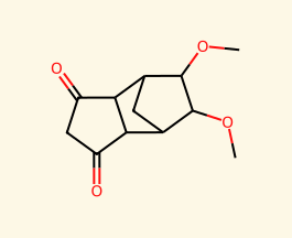 COC1C2CC(C1OC)C1C(=O)CC(=O)C21